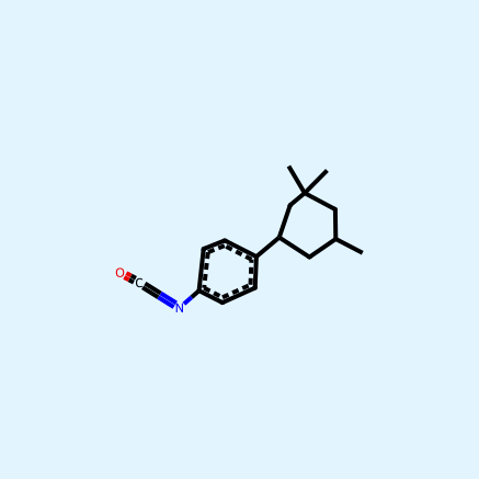 CC1CC(c2ccc(N=C=O)cc2)CC(C)(C)C1